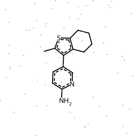 Cc1sc2c(c1-c1ccc(N)nc1)CCCC2